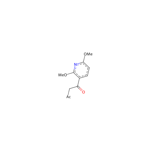 COc1ccc(C(=O)CC(C)=O)c(OC)n1